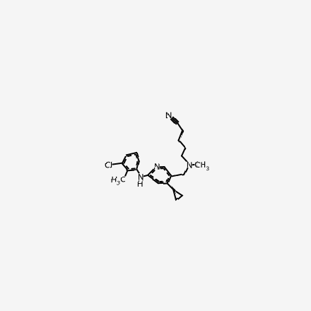 Cc1c(Cl)cccc1Nc1cc(C2CC2)c(CN(C)CCCCC#N)cn1